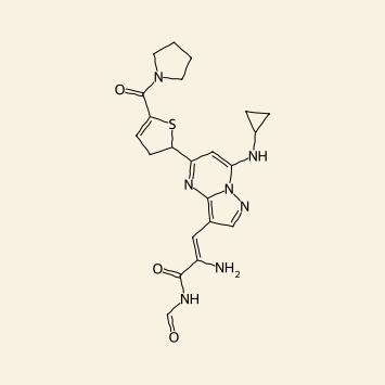 N/C(=C\c1cnn2c(NC3CC3)cc(C3CC=C(C(=O)N4CCCC4)S3)nc12)C(=O)NC=O